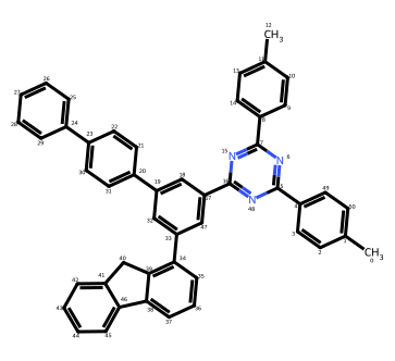 Cc1ccc(-c2nc(-c3ccc(C)cc3)nc(-c3cc(-c4ccc(-c5ccccc5)cc4)cc(-c4cccc5c4Cc4ccccc4-5)c3)n2)cc1